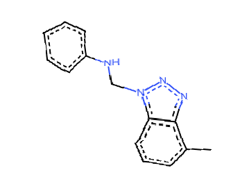 Cc1cccc2c1nnn2CNc1ccccc1